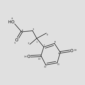 CC(C)(CC(=O)O)C1=CC(=O)C=CC1=O